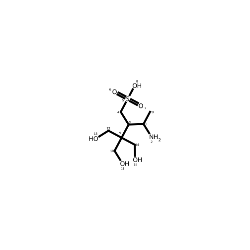 CC(N)C(CS(=O)(=O)O)C(CO)(CO)CO